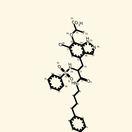 O=C(NCCCCc1ccccc1)C(Cc1cc(Cl)c(OC(F)C(=O)O)c2[nH]ncc12)NS(=O)(=O)c1ccccc1